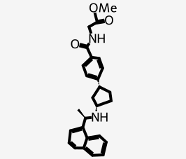 COC(=O)CNC(=O)c1ccc([C@@H]2CC[C@H](N[C@H](C)c3cccc4ccccc34)C2)cc1